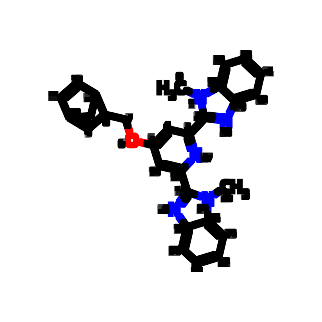 Cn1c(-c2cc(OCC3CC4C=CC3C4)cc(-c3nc4ccccc4n3C)n2)nc2ccccc21